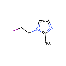 O=[N+]([O-])c1nccn1CCI